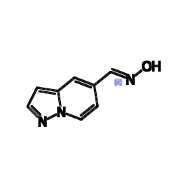 O/N=C/c1ccn2nccc2c1